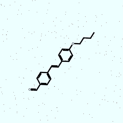 CCCCOc1ccc(C=Cc2ccc(C=O)cc2)cc1